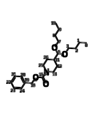 CCCCOC(OCCCC)C1CCN(C(=O)OCc2ccccc2)CC1